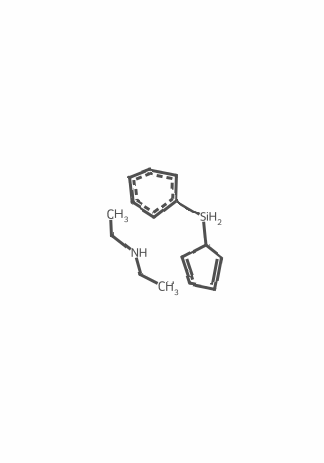 C1=C[C]([SiH2]c2ccccc2)C=C1.CCNCC